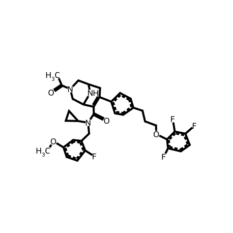 COc1ccc(F)c(CN(C(=O)C2=C(c3ccc(CCCOc4c(F)ccc(F)c4F)cc3)CC3CN(C(C)=O)CC2N3)C2CC2)c1